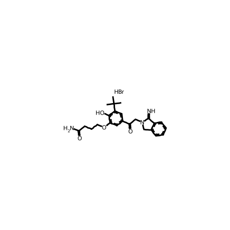 Br.CC(C)(C)c1cc(C(=O)CN2Cc3ccccc3C2=N)cc(OCCCC(N)=O)c1O